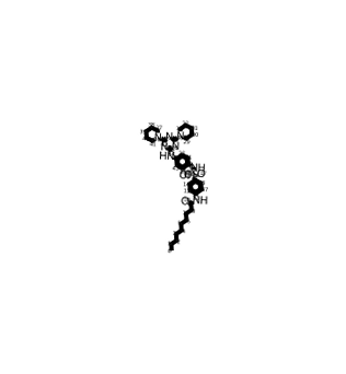 CCCCCCCCCC(=O)Nc1ccc(S(=O)(=O)Nc2ccc(Nc3nc(N4CCCCC4)nc(N4CCCCC4)n3)cc2O)cc1